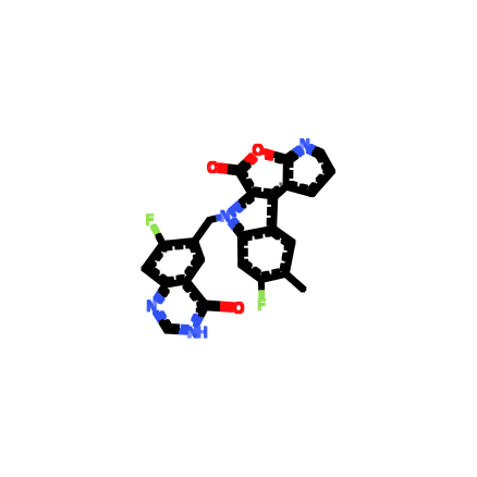 Cc1cc2c3c4cccnc4oc(=O)c3n(Cc3cc4c(=O)[nH]cnc4cc3F)c2cc1F